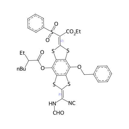 [C-]#[N+]/C(NC=O)=C1\Sc2c(OCc3ccccc3)c3c(c(OC(=O)C(CC)CCCC)c2S1)S/C(=C(/C(=O)OCC)S(=O)(=O)c1ccccc1)S3